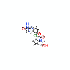 O=C1CN2Cc3c(ccc(OCC(=O)N(CCO)C4CCCC4)c3Cl)N=C2N1